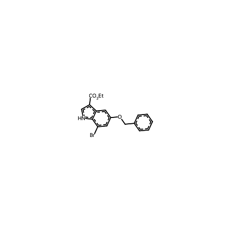 CCOC(=O)c1c[nH]c2c(Br)cc(OCc3ccccc3)cc12